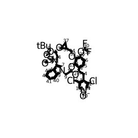 CC(C)(C)OC(=O)CN(c1cn(CC(=O)OC(Cc2c(Cl)c[n+]([O-])cc2Cl)c2ccc(OC(F)F)c(OCC3CC3)c2)c2ccccc12)[SH](=O)=O